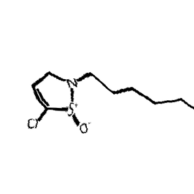 CCCCCCN1CC=C(Cl)[S+]1[O-]